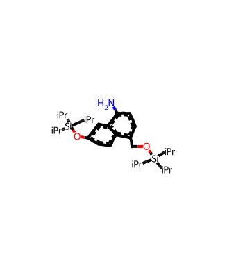 CC(C)[Si](OCc1ccc(N)c2cc(O[Si](C(C)C)(C(C)C)C(C)C)ccc12)(C(C)C)C(C)C